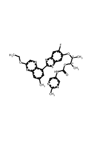 CCOc1cnc2c(-c3nc4cc(F)c(O[C@@H](C)[C@@H](C)OC(=O)Nc5cnc(C)nc5)cc4s3)cc(C)cc2n1